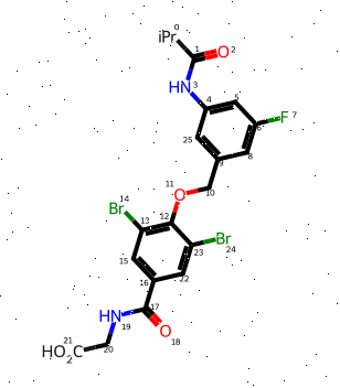 CC(C)C(=O)Nc1cc(F)cc(COc2c(Br)cc(C(=O)NCC(=O)O)cc2Br)c1